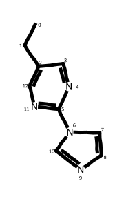 CCc1cnc(-n2ccnc2)nc1